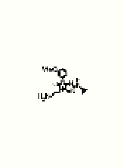 COc1cccc(-n2c(=O)n(CCCN)c3cnc(NC4CC4)nc32)c1